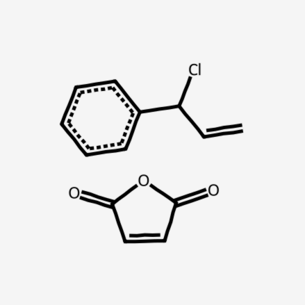 C=CC(Cl)c1ccccc1.O=C1C=CC(=O)O1